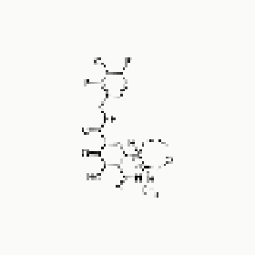 CN1C(=O)c2c(O)c(=O)c(C(=O)NCc3ccc(F)c(Cl)c3F)cn2[C@@H]2CCCOC[C@H]21